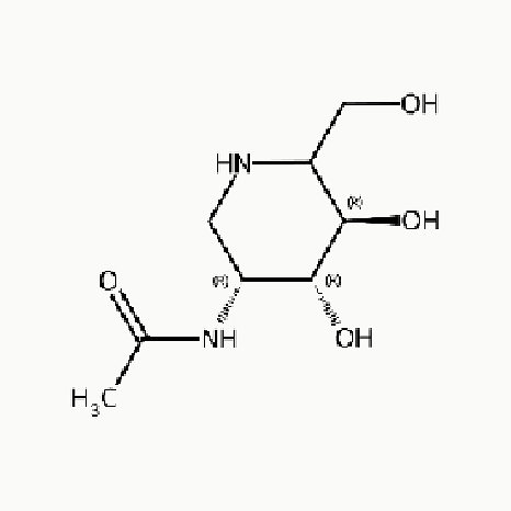 CC(=O)N[C@@H]1CNC(CO)[C@@H](O)[C@@H]1O